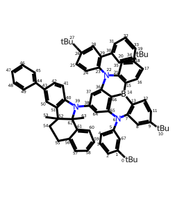 CC(C)(C)c1cccc(N2c3cc(C(C)(C)C)ccc3B3c4ccc(C(C)(C)C)cc4N(c4ccc(C(C)(C)C)cc4-c4ccccc4)c4cc(N5c6ccc(-c7ccccc7)cc6C6(C)CCc7ccccc7C56C)cc2c43)c1